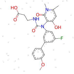 COc1cccc(-c2cc(F)cc(N(C(=O)NCCC(=O)O)c3c(O)cc(C)n(C)c3=O)c2)c1